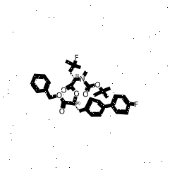 CN(C(=O)OC(C)(C)C)[C@@H](CC(C)(C)F)C(=O)O[C@H](Cc1ccc(-c2ccc(F)cc2)cc1)C(=O)OCc1ccccc1